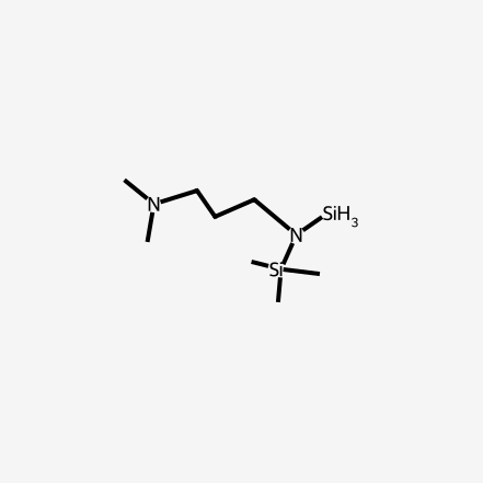 CN(C)CCCN([SiH3])[Si](C)(C)C